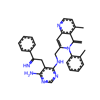 C=C1c2c(C)ccnc2C=C(CNc2ncnc(N)c2CC(=N)c2ccccc2)N1c1ccccc1C